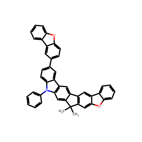 CC1(C)c2cc3oc4ccccc4c3cc2-c2cc3c4cc(-c5ccc6oc7ccccc7c6c5)ccc4n(-c4ccccc4)c3cc21